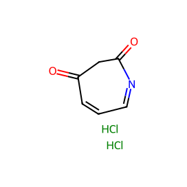 Cl.Cl.O=C1C=CC=NC(=O)C1